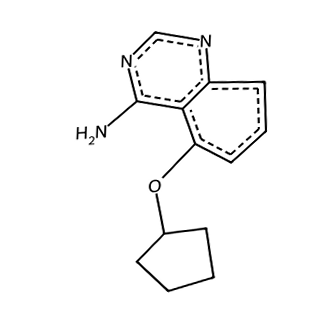 Nc1ncnc2cccc(OC3CCCC3)c12